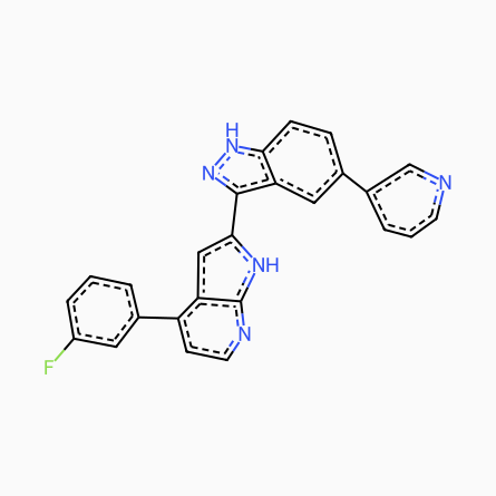 Fc1cccc(-c2ccnc3[nH]c(-c4n[nH]c5ccc(-c6cccnc6)cc45)cc23)c1